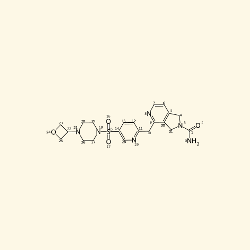 NC(=O)N1Cc2ccnc(Cc3ccc(S(=O)(=O)N4CCN(C5COC5)CC4)cn3)c2C1